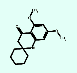 COc1cc2c(c(OC)c1)C(=O)CC1(CCCCC1)N2